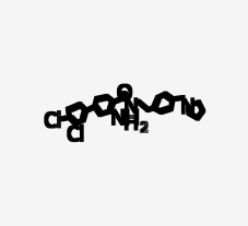 Nc1cc(-c2ccc(Cl)c(Cl)c2)ccc1C(=O)NCCc1ccc(CN2CCCC2)cc1